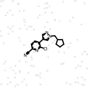 N#Cc1ccc(-c2cnn(CC3CCCC3)c2)c(Cl)n1